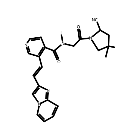 CC1(C)CC(C#N)N(C(=O)CN(I)C(=O)c2ccncc2/C=C/c2cn3ccccc3n2)C1